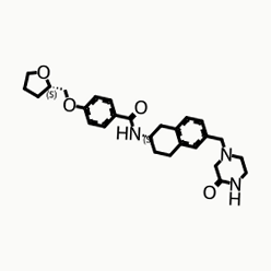 O=C1CN(Cc2ccc3c(c2)CC[C@H](NC(=O)c2ccc(OC[C@@H]4CCCO4)cc2)C3)CCN1